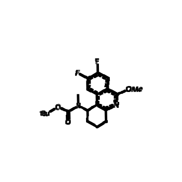 COc1nc2c(c3cc(F)c(F)cc13)C(N(C)C(=O)OC(C)(C)C)CCC2